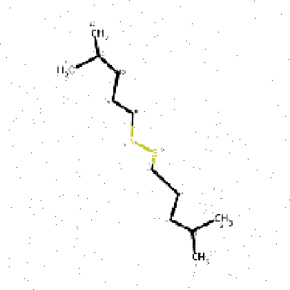 CC(C)CCCSSCCCC(C)C